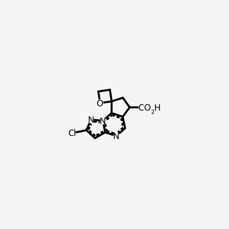 O=C(O)C1CC2(CCO2)c2c1cnc1cc(Cl)nn21